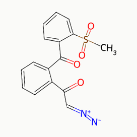 CS(=O)(=O)c1ccccc1C(=O)c1ccccc1C(=O)C=[N+]=[N-]